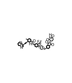 Cc1ccc(C(=O)Nc2ccc(N3CCN(Cc4ccc5c(c4)C(=O)N(C4CCC(=O)NC4=O)C5=O)CC3)c(C(F)(F)F)c2)cc1C#Cc1cnc2cccnn12